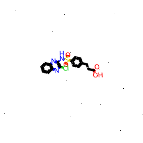 O=C(O)CCc1ccc(S(=O)(=O)Nc2nc3ccccc3nc2Cl)cc1